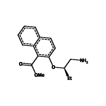 CC[C@H](CN)Oc1ccc2ccccc2c1C(=O)OC